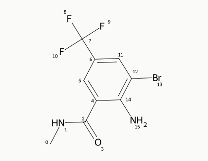 CNC(=O)c1cc(C(F)(F)F)cc(Br)c1N